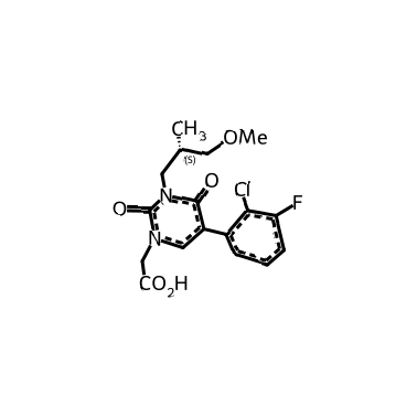 COC[C@@H](C)Cn1c(=O)c(-c2cccc(F)c2Cl)cn(CC(=O)O)c1=O